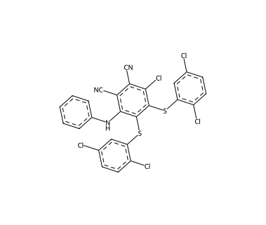 N#Cc1c(Cl)c(Sc2cc(Cl)ccc2Cl)c(Sc2cc(Cl)ccc2Cl)c(Nc2ccccc2)c1C#N